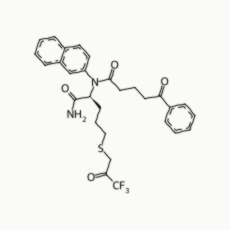 NC(=O)[C@H](CCCSCC(=O)C(F)(F)F)N(C(=O)CCCC(=O)c1ccccc1)c1ccc2ccccc2c1